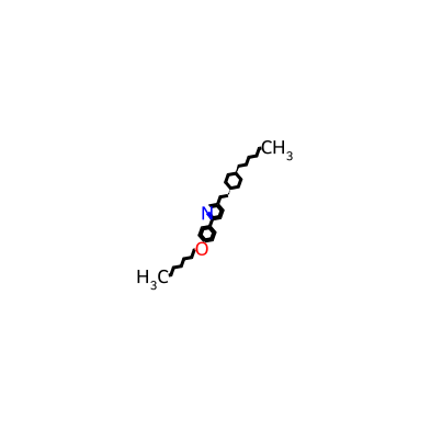 CCCCCCCOc1ccc(-c2ccc(CC[C@H]3CC[C@H](CCCCCC)CC3)cn2)cc1